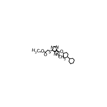 CCOC(=O)CSc1ncnc2c(OC3CCC(C4CCCCC4)CC3)n(C)nc12